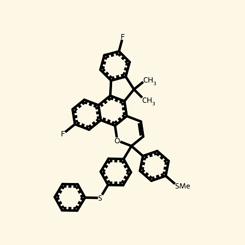 CSc1ccc(C2(c3ccc(Sc4ccccc4)cc3)C=Cc3c4c(c5ccc(F)cc5c3O2)-c2ccc(F)cc2C4(C)C)cc1